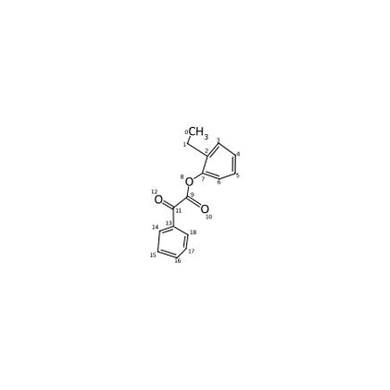 CCc1ccccc1OC(=O)C(=O)c1ccccc1